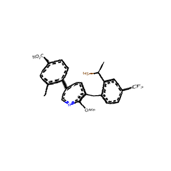 COc1ncc(-c2ccc(C(=O)O)cc2C)cc1-c1ccc(C(F)(F)F)cc1C(C)S